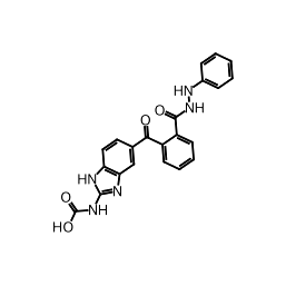 O=C(O)Nc1nc2cc(C(=O)c3ccccc3C(=O)NNc3ccccc3)ccc2[nH]1